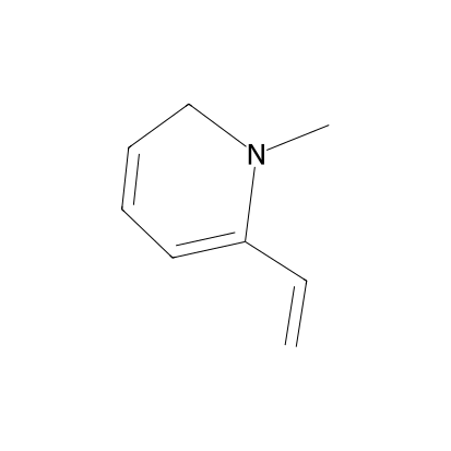 C=CC1=CC=CCN1C